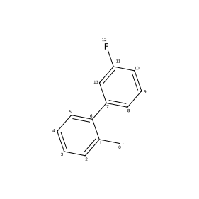 [CH2]c1ccccc1-c1cccc(F)c1